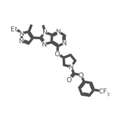 CCn1ncc(-c2nc3c(OC4CCN(C(=O)Oc5cccc(C(F)(F)F)c5)C4)ncnc3n2C)c1C